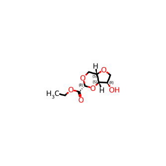 CCOC(=O)[C@@H]1OC[C@@H]2OC[C@@H](O)[C@@H]2O1